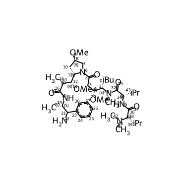 CCC(C)[C@@H]([C@@H](CC(=O)N1C[C@H](OC)C[C@H]1[C@H](OC)[C@@H](C)C(=O)N[C@@H](C)C(N)c1ccccc1)OC)N(C)C(=O)[C@@H](NC(=O)[C@H](C(C)C)N(C)C)C(C)C